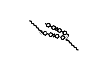 CCC1CCC(C2CCC3(CC2)CC2(CCC(C4CCC(C)CC4)CC2)C3)CC1.CCCCCCCCCCOC1CCC([C@H]2CCC3(CC2)CC2(CC[C@H]([C@H]4CC[C@H](OCCCCCCCCCC)CC4)CC2)C3)CC1